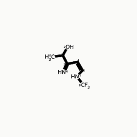 CC(O)C(=N)/C=C\NC(F)(F)F